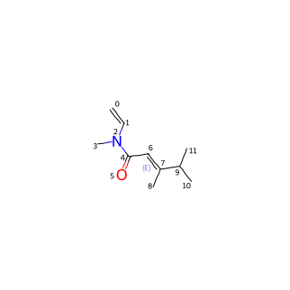 C=CN(C)C(=O)/C=C(\C)C(C)C